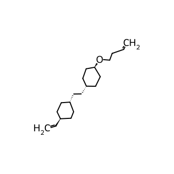 C=CCCO[C@H]1CC[C@H](CC[C@H]2CC[C@H](C=C)CC2)CC1